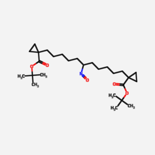 CC(C)(C)OC(=O)C1(CCCCCC(CCCCCC2(C(=O)OC(C)(C)C)CC2)N=O)CC1